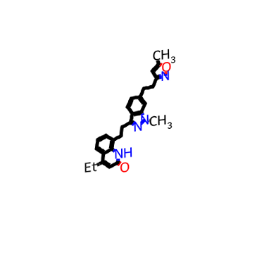 CCc1cc(=O)[nH]c2c(CCc3nn(C)c4cc(CCc5cc(C)on5)ccc34)cccc12